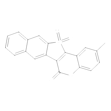 Cc1ccc2oc(=O)c3c(c2c1)[Se](=O)(=O)c1cc2ccccc2cc1-3